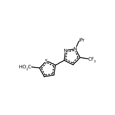 CC(C)n1nc(-c2ccc(C(=O)O)s2)cc1C(F)(F)F